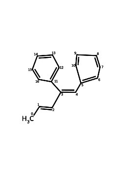 CC=CC(=Cc1ccccc1)c1ccccc1